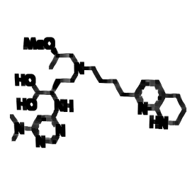 CO[C@H](C)CN(CCCCc1ccc2c(n1)NCCC2)CC[C@@H](Nc1cc(N(C)C)ncn1)C(O)O